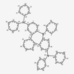 c1ccc(B2c3ccc(N(c4ccccc4)c4ccccc4)cc3-c3ccccc3-c3cc(N(c4ccccc4)c4ccccc4)ccc32)cc1